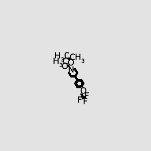 CC(C)(C)OC(=O)N1CCC(c2ccc(OCC(F)(F)F)cc2)CC1